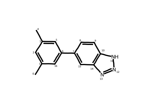 Cc1cc(C)cc(-c2ccc3[nH]nnc3c2)c1